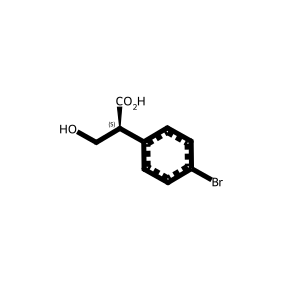 O=C(O)[C@H](CO)c1ccc(Br)cc1